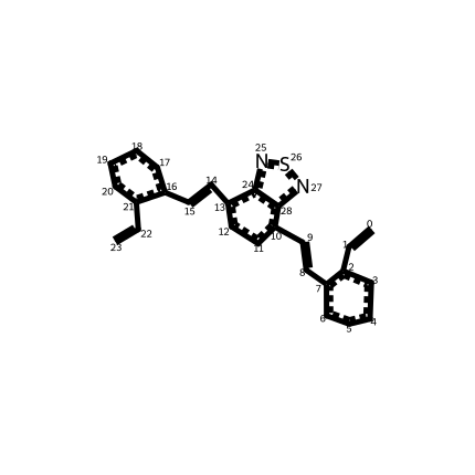 C=Cc1ccccc1C=Cc1ccc(C=Cc2ccccc2C=C)c2nsnc12